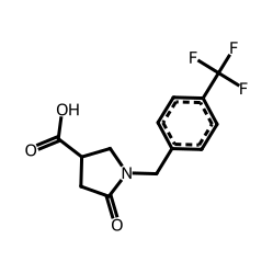 O=C(O)C1CC(=O)N(Cc2ccc(C(F)(F)F)cc2)C1